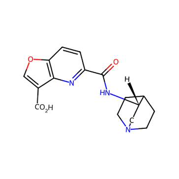 O=C(N[C@H]1CN2CCC1CC2)c1ccc2occ(C(=O)O)c2n1